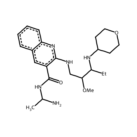 CCC(NC1CCOCC1)C(CNc1nc2ccccc2cc1C(=O)NC(C)N)OC